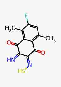 Cc1c(F)cc(C)c2c(=O)/c(=N/S)c(=N)c(=O)c12